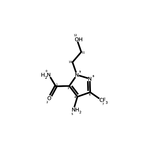 NC(=O)c1c(N)c(C(F)(F)F)nn1CCO